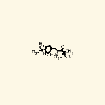 CC(C)(C)C(=O)[C@H](N)Cc1ccc(C(C)(C)C)cc1